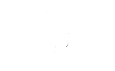 CC(C)C(=O)NC[C@@H]1C[C@H]1c1cccc(C(F)(F)F)c1